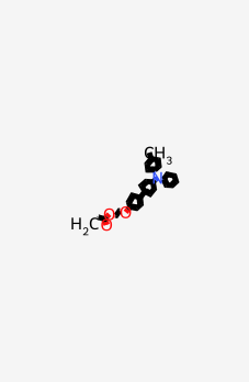 C=CC(=O)OCCOc1ccc(C2=CCC(N(C3=CC=CCC3)c3ccc(C)cc3)C=C2)cc1